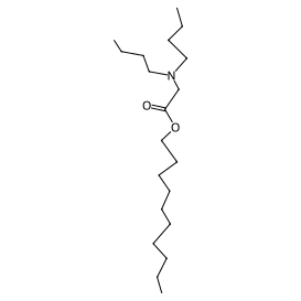 CCCCCCCCCCOC(=O)CN(CCCC)CCCC